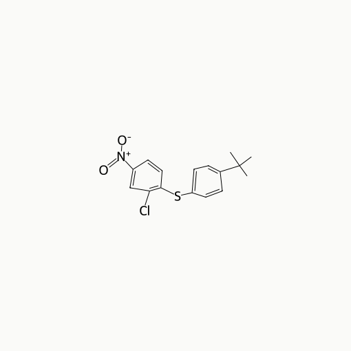 CC(C)(C)c1ccc(Sc2ccc([N+](=O)[O-])cc2Cl)cc1